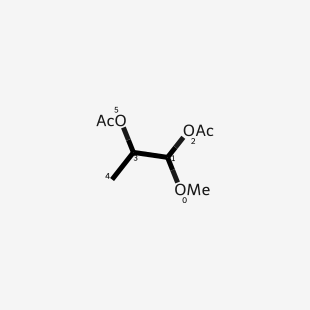 COC(OC(C)=O)C(C)OC(C)=O